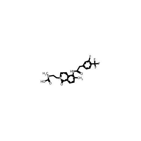 Cc1ccc2c(=O)n(CCN(C)C(=O)O)ccc2c1NC(=O)Cc1ccc(C(F)(F)F)c(F)c1